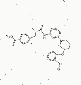 CCOc1ccccc1OC1CCCN(c2cncc(NC(=O)C(C)Cc3ccc(C(=O)OC)cc3)n2)C1